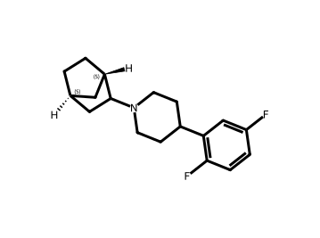 Fc1ccc(F)c(C2CCN(C3C[C@H]4CC[C@H]3C4)CC2)c1